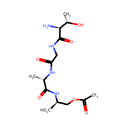 C[C@H](NC(=O)CNC(=O)[C@@H](N)[C@H](C)O)C(=O)N[C@@H](COC(=O)C(F)(F)F)C(=O)O